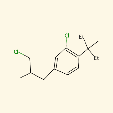 CCC(C)(CC)c1ccc(CC(C)CCl)cc1Cl